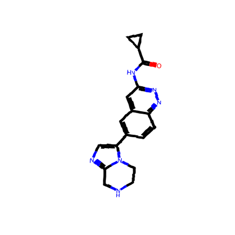 O=C(Nc1cc2cc(-c3cnc4n3CCNC4)ccc2nn1)C1CC1